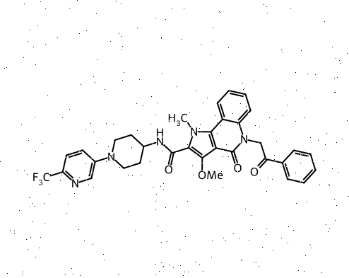 COc1c(C(=O)NC2CCN(c3ccc(C(F)(F)F)nc3)CC2)n(C)c2c1c(=O)n(CC(=O)c1ccccc1)c1ccccc21